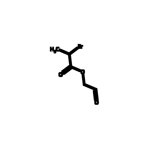 CC(Br)C(=O)OCC=O